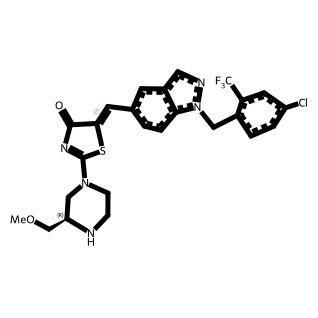 COC[C@H]1CN(C2=NC(=O)/C(=C/c3ccc4c(cnn4Cc4ccc(Cl)cc4C(F)(F)F)c3)S2)CCN1